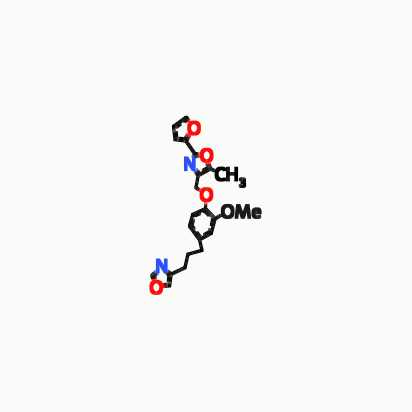 COc1cc(CCCc2cocn2)ccc1OCc1nc(-c2ccco2)oc1C